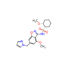 COc1cc(Cn2cccn2)cc2onc(NS(=O)(=O)[C@H]3CCCC[C@H]3OC)c12